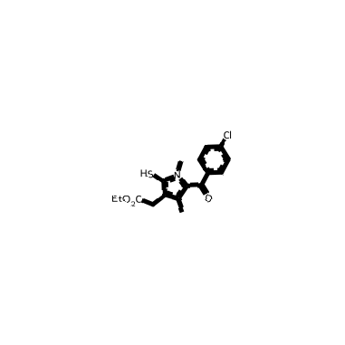 CCOC(=O)Cc1c(C)c(C(=O)c2ccc(Cl)cc2)n(C)c1S